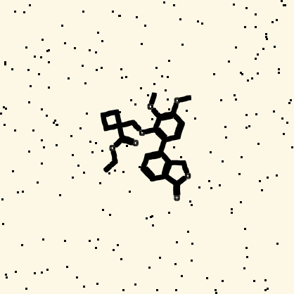 CCOC(=O)C1(COc2c(-c3cccc4c3COC4=O)ccc(OC)c2OC)CCC1